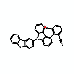 N#Cc1cccc(C#N)c1-c1cccc2c1c1ccccc1n2-c1ccc2sc3ccccc3c2c1